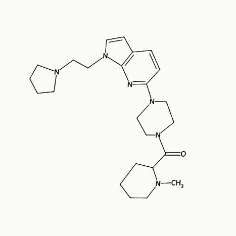 CN1CCCCC1C(=O)N1CCN(c2ccc3ccn(CCN4CCCC4)c3n2)CC1